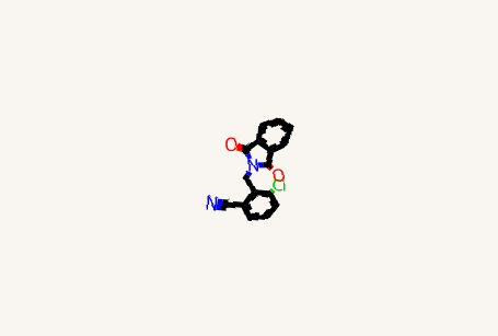 N#Cc1cccc(Cl)c1CN1C(=O)c2ccccc2C1=O